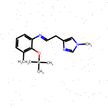 Cc1cccc(N=CCc2cn(C)cn2)c1O[Si](C)(C)C